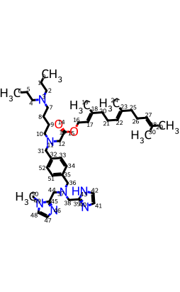 CCCN(CCC)CCCCN(CC(=O)OC/C=C(\C)CC/C=C(\C)CCC=C(C)C)Cc1ccc(CN(Cc2ncc[nH]2)Cc2nccn2C)cc1